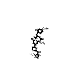 COc1ccc(CC2CC(=O)N(C)c3cc(-c4ccnc(Nc5ccnn5C)n4)cc4nnc2n34)c(F)c1